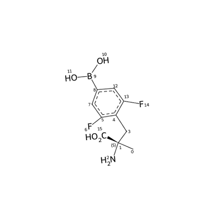 C[C@](N)(Cc1c(F)cc(B(O)O)cc1F)C(=O)O